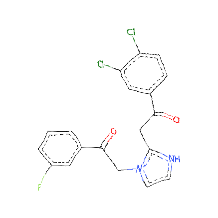 O=C(Cc1[nH]cc[n+]1CC(=O)c1cccc(F)c1)c1ccc(Cl)c(Cl)c1